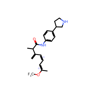 C=C(/C=C\C=C(/C)OC(F)(F)F)C(C)C(=O)Nc1ccc(C2CCNC2)cc1